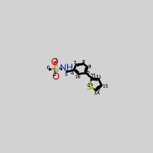 CS(=O)(=O)NCc1cccc(-c2cc[c]s2)c1